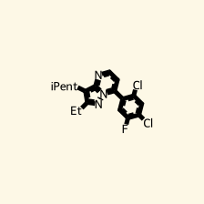 CCCC(C)c1c(CC)nn2c(-c3cc(F)c(Cl)cc3Cl)ccnc12